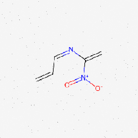 C=C/C=N\C(=C)[N+](=O)[O-]